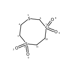 O=S1(=O)CCSCS(=O)(=O)CC1